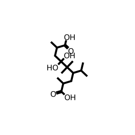 CC(CC(C(C)C)C(C)(C)C(O)(O)CC(C)C(=O)O)C(=O)O